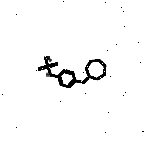 CS(=O)(=O)Nc1ccc(CN2CCCCCC2)cc1